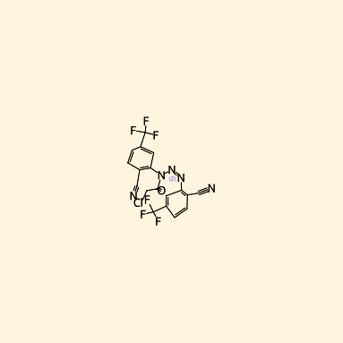 N#Cc1ccc(C(F)(F)F)cc1/N=N\N(C(=O)CCl)c1cc(C(F)(F)F)ccc1C#N